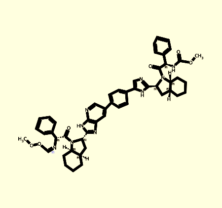 COO/C=N\[C@@H](C(=O)N1[C@@H]2CCCC[C@@H]2C[C@H]1c1nc2cc(-c3ccc(-c4cnc([C@@H]5C[C@H]6CCCC[C@H]6N5C(=O)[C@H](NC(=O)OC)c5ccccc5)[nH]4)cc3)cnc2[nH]1)c1ccccc1